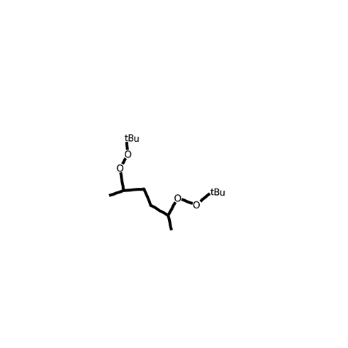 CC(CCC(C)OOC(C)(C)C)OOC(C)(C)C